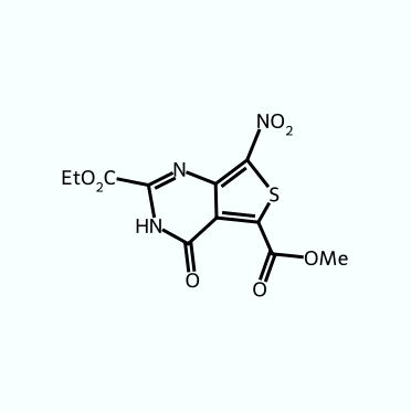 CCOC(=O)c1nc2c([N+](=O)[O-])sc(C(=O)OC)c2c(=O)[nH]1